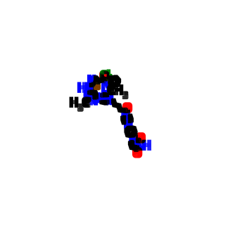 Cc1nc(Nc2ncc(C(=O)Nc3c(C)cccc3Cl)s2)cc(N2CCN(CCCCC(=O)N3CCN(c4ccc(-n5ccc(=O)[nH]c5=O)cc4)CC3)CC2)n1